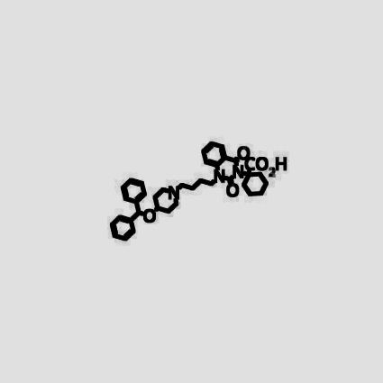 O=C(O)C1(n2c(=O)c3ccccc3n(CCCCN3CCC(OC(c4ccccc4)c4ccccc4)CC3)c2=O)CCCCC1